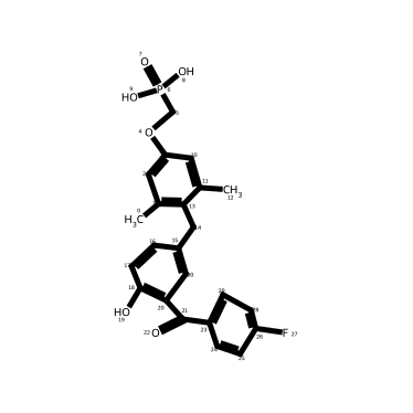 Cc1cc(OCP(=O)(O)O)cc(C)c1Cc1ccc(O)c(C(=O)c2ccc(F)cc2)c1